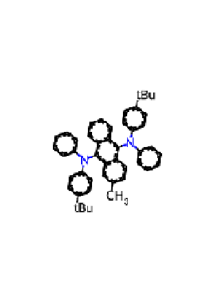 Cc1ccc2c(N(c3ccccc3)c3ccc(C(C)(C)C)cc3)c3ccccc3c(N(c3ccccc3)c3ccc(C(C)(C)C)cc3)c2c1